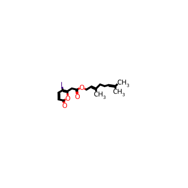 CC(C)=CCC/C(C)=C/COC(=O)Cc1oc(=O)ccc1I